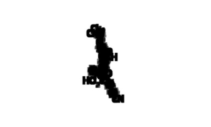 N#Cc1ccc(-c2ccc(C[C@H](NC(=O)[C@@H]3Cc4cc5c(cc4CN3C(=O)c3ccccc3)OC(c3ccc(OCc4cnc(Cl)c(Cl)c4)cc3)C(=O)N5)C(=O)O)cc2)cc1